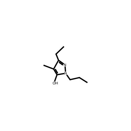 CCCn1nc(CC)c(C)c1O